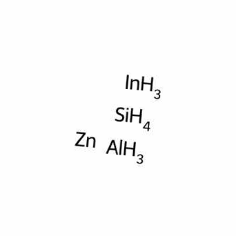 [AlH3].[InH3].[SiH4].[Zn]